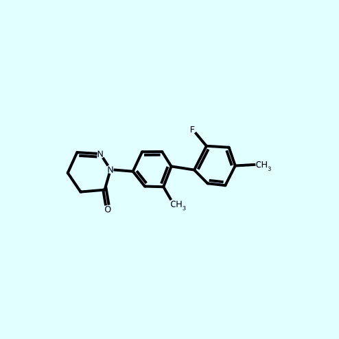 Cc1ccc(-c2ccc(N3N=CCCC3=O)cc2C)c(F)c1